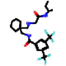 CCC(C)NC(=O)CNCC1(CNC(=O)c2cc(C(F)(F)F)cc(C(F)(F)F)c2)CCCCC1